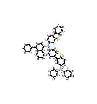 c1ccc(-c2ccc(N(c3ccc4c(c3)sc3ccccc34)c3ccc4c(c3)sc3ccc(N(c5ccccc5)c5ccccc5)cc34)c3ccccc23)cc1